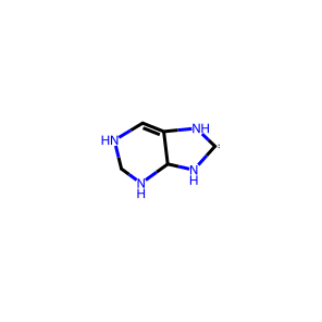 [C]1NC2=CNCNC2N1